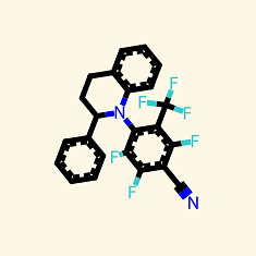 N#Cc1c(F)c(F)c(N2c3ccccc3CCC2c2ccccc2)c(C(F)(F)F)c1F